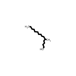 CCCCCCCCCCC(C)CCCCO